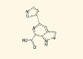 O=C(O)c1nc(-c2cncs2)cc2cn[nH]c12